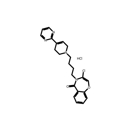 Cl.O=C1c2ccccc2OC=C(Cl)N1CCCCN1CC=C(c2ncccn2)CC1